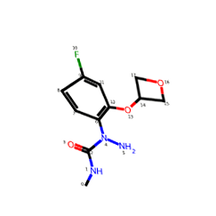 CNC(=O)N(N)c1ccc(F)cc1OC1COC1